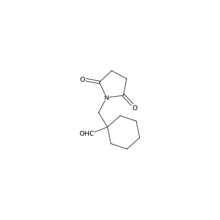 O=CC1(CN2C(=O)CCC2=O)CCCCC1